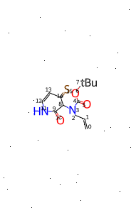 C=CCN(C(=O)OC(C)(C)C)C1C(=O)NC=CC1=S